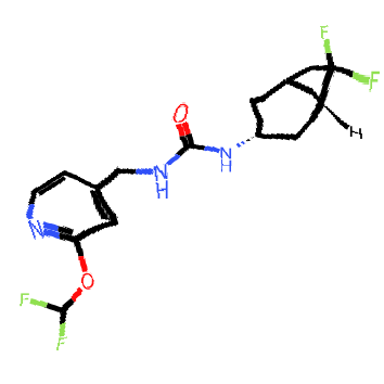 O=C(NCc1ccnc(OC(F)F)c1)N[C@@H]1CC2[C@@H](C1)C2(F)F